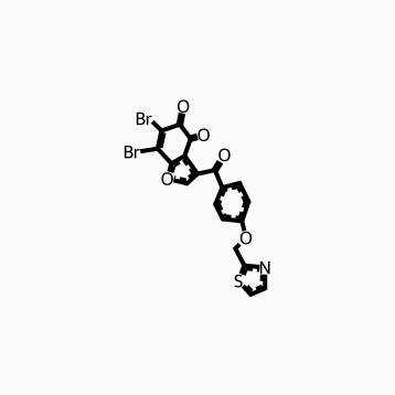 O=C1C(=O)c2c(C(=O)c3ccc(OCc4nccs4)cc3)coc2C(Br)=C1Br